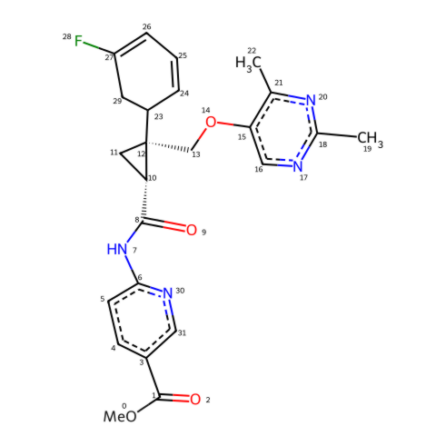 COC(=O)c1ccc(NC(=O)[C@@H]2C[C@@]2(COc2cnc(C)nc2C)C2C=CC=C(F)C2)nc1